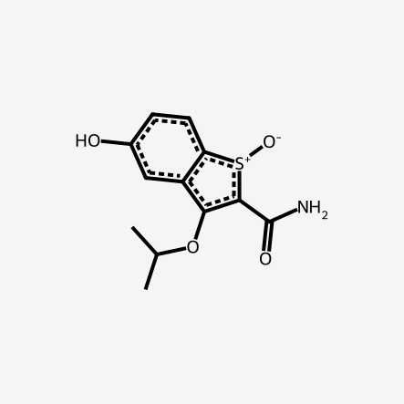 CC(C)Oc1c(C(N)=O)[s+]([O-])c2ccc(O)cc12